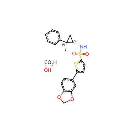 C[C@]1(c2ccccc2)C[C@@H]1NS(=O)(=O)c1ccc(-c2ccc3c(c2)OCO3)s1.O=C(O)O